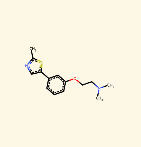 Cc1n[c]c(-c2cccc(OCCN(C)C)c2)s1